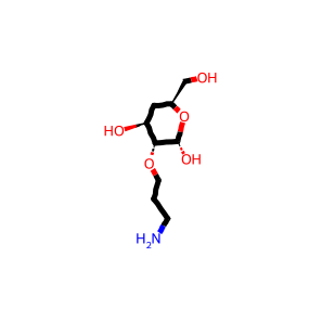 NCCCO[C@@H]1[C@@H](O)C[C@@H](CO)O[C@@H]1O